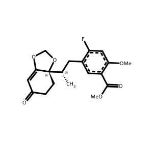 COC(=O)c1cc(C[C@H](C)[C@]23CCC(=O)C=C2OCO3)c(F)cc1OC